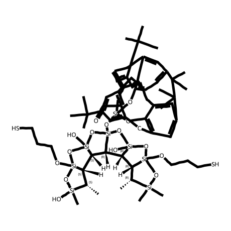 C[C@@H]1[C@@H]2[C@@H]3[C@@H]4[C@@H]5[C@@H]6[C@H](C)[Si](C)(O)O[Si]6(OCCCS)O[Si]5(O)O[Si]4(O[Si]45Oc6c7cc8cc6Cc6cc(C(C)(C)C)cc(c6O4)Cc4cc(cc(c4O5)Cc4cc(C(C)(C)C)cc(c4C=O)C7)C(C)(C)C8(C)C)O[Si]3(O)O[Si]2(OCCCS)O[Si]1(C)C